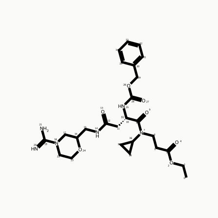 CCOC(=O)CCN(C(=O)[C@H](CC(=O)NCC1CN(C(=N)N)CCO1)NC(=O)OCc1ccccc1)C1CC1